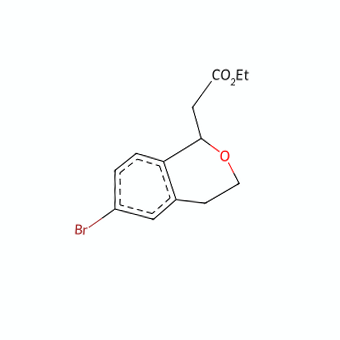 CCOC(=O)CC1OCCc2cc(Br)ccc21